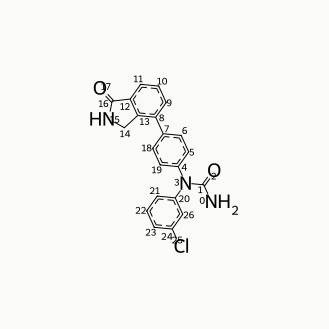 NC(=O)N(c1ccc(-c2cccc3c2CNC3=O)cc1)c1cccc(Cl)c1